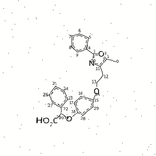 Cc1oc(-c2ccccc2)nc1CCOc1ccc(OC(C(=O)O)c2ccccc2)cc1